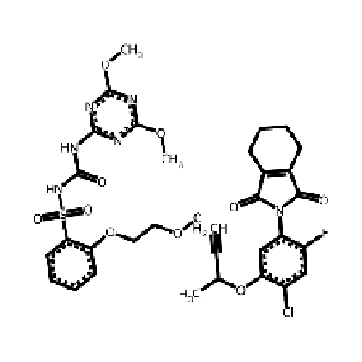 C#CC(C)Oc1cc(N2C(=O)C3=C(CCCC3)C2=O)c(F)cc1Cl.COCCOc1ccccc1S(=O)(=O)NC(=O)Nc1nc(OC)nc(OC)n1